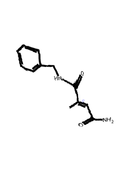 C/C(=C\C(N)=O)C(=O)NCc1ccccc1